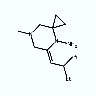 CCC(/C=C1/CN(C)CC2(CC2)N1N)C(C)C